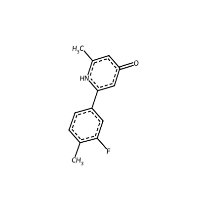 Cc1cc(=O)cc(-c2ccc(C)c(F)c2)[nH]1